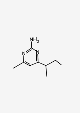 CCC(C)c1cc(C)nc(N)n1